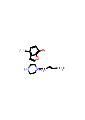 CN1CCNCC1.FC(F)(F)c1ccc(Br)c2occc12.O=C(O)C=CC(=O)O